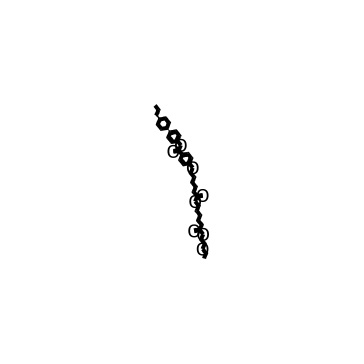 CCC[C@H]1CC[C@H](c2ccc(OC(=O)c3ccc(OCCCCCC(=O)OCCCCCC(=O)OCCOCC)cc3)cc2)CC1